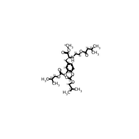 COC(=O)[C@H](Cc1ccc(OC(=O)OCC(C)C)c(OC(=O)OCC(C)C)c1)NCCOC(=O)CC(C)C